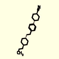 CCC[C@H]1CC[C@H](CCc2ccc([C@H]3CC[C@H](C#N)CC3)cc2)CC1